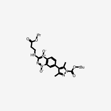 Cc1nn(C(=O)OC(C)(C)C)c(C)c1-c1ccc2c(c1)[n+]([O-])nc(NCCC(=O)OC(C)C)[n+]2[O-]